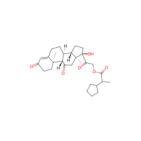 CC(C(=O)OCC(=O)[C@@]1(O)CC[C@H]2[C@@H]3CCC4=CC(=O)CC[C@]4(C)[C@H]3C(=O)C[C@@]21C)C1CCCC1